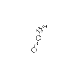 Oc1nnc(-c2ccc(SCc3ccccc3)cc2)o1